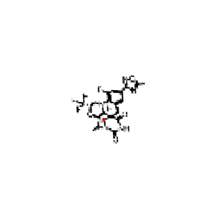 CC[C@@H]1O[C@H](C(F)(F)F)CN2c3c(F)cc(-c4noc(C)n4)cc3CC3(C(=O)NC(=O)NC3=O)[C@@H]12